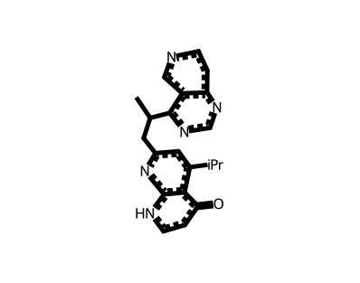 CC(C)c1cc(CC(C)c2ncnc3ccncc23)nc2[nH]ccc(=O)c12